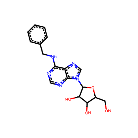 OCC1OC(n2cnc3c(NCc4ccccc4)ncnc32)C(O)C1O